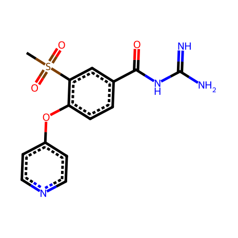 CS(=O)(=O)c1cc(C(=O)NC(=N)N)ccc1Oc1ccncc1